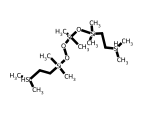 C[SiH](C)CC[Si](C)(C)OO[Si](C)(C)O[Si](C)(C)CC[SiH](C)C